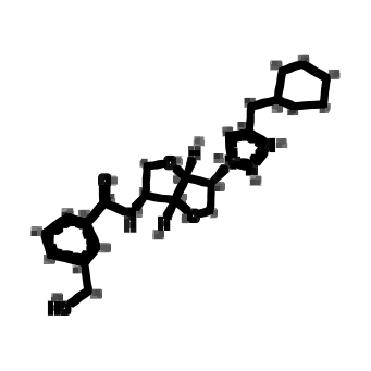 O=C(N[C@H]1CO[C@H]2[C@@H]1OC[C@@H]2n1cc(CC2CCCCC2)nn1)c1cccc(CO)c1